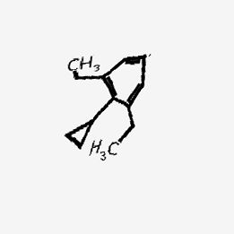 CCc1c[c]cc(CC)c1C1CC1